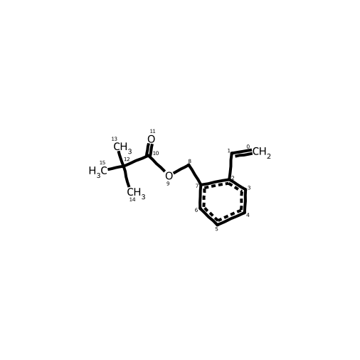 C=Cc1ccccc1COC(=O)C(C)(C)C